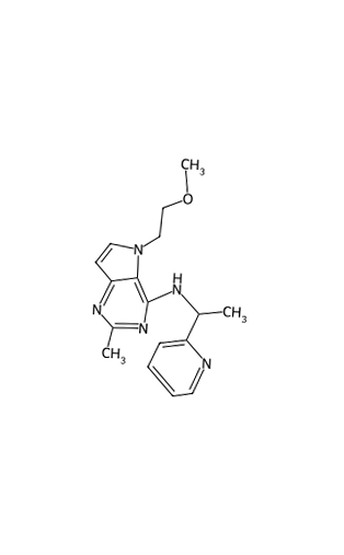 COCCn1ccc2nc(C)nc(NC(C)c3ccccn3)c21